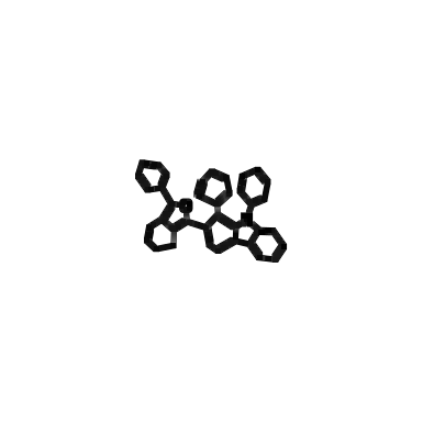 c1cccc(-c2c(-c3oc(-c4ccccc4)c4c3CCC=C4)ccc3c4ccccc4n(-c4ccccc4)c23)c#1